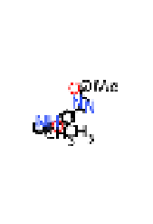 COC(=O)c1cncc(-c2ccc(OC[C@]3(C)CCCN3)c(C)c2)n1